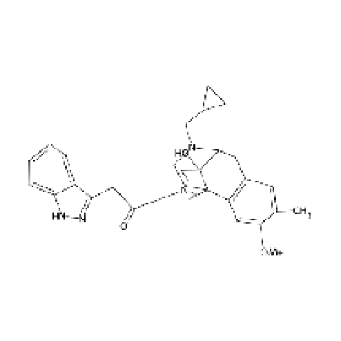 COc1cc2c(cc1C)CC1N(CC3CC3)CCC23CCN(C(=O)Cc2n[nH]c4ccccc24)CCC13O